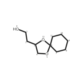 OCCC1COC2(CCCCC2)O1